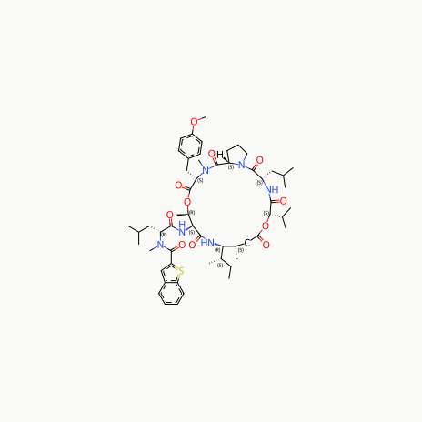 CC[C@H](C)[C@H]1NC(=O)[C@@H](NC(=O)[C@@H](CC(C)C)N(C)C(=O)c2cc3ccccc3s2)[C@@H](C)OC(=O)[C@H](Cc2ccc(OC)cc2)N(C)C(=O)[C@@H]2CCCN2C(=O)[C@H](CC(C)C)NC(=O)[C@H](C(C)C)OC(=O)C[C@@H]1C